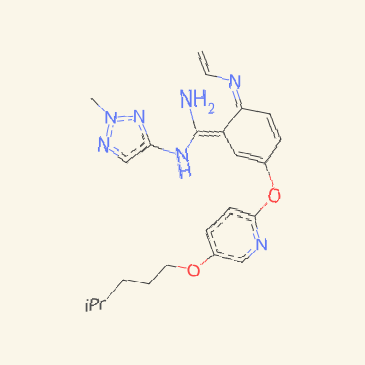 C=C/N=C1/C=CC(Oc2ccc(OCCCC(C)C)cn2)=C/C1=C(/N)Nc1cnn(C)n1